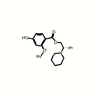 CCCOc1cc(O)ccc1C(=O)OC[C@H](C(C)C)N1CCCCC1